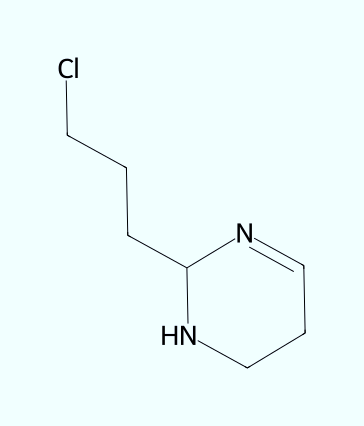 ClCCCC1N=CCCN1